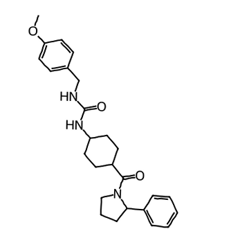 COc1ccc(CNC(=O)NC2CCC(C(=O)N3CCCC3c3ccccc3)CC2)cc1